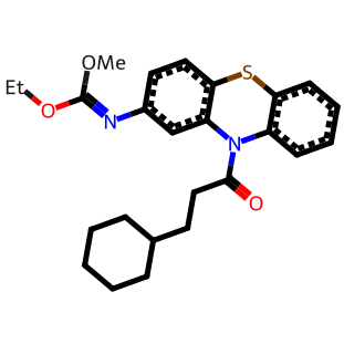 CCO/C(=N/c1ccc2c(c1)N(C(=O)CCC1CCCCC1)c1ccccc1S2)OC